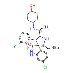 C[C@H](NC1CCC(O)CC1)C1N[C@@H](CC(C)(C)C)C2(C(=O)Nc3cc(Cl)ccc32)C1c1cccc(Cl)c1F